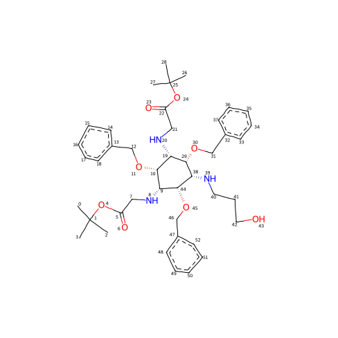 CC(C)(C)OC(=O)CN[C@@H]1[C@H](OCc2ccccc2)[C@H](NCC(=O)OC(C)(C)C)[C@H](OCc2ccccc2)[C@H](NCCCO)[C@@H]1OCc1ccccc1